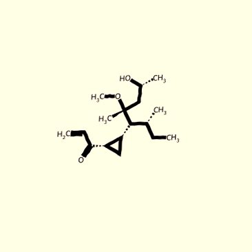 C=CC(=O)[C@H]1C[C@H]1C([C@H](C)CC)[C@@](C)(C[C@@H](C)O)OC